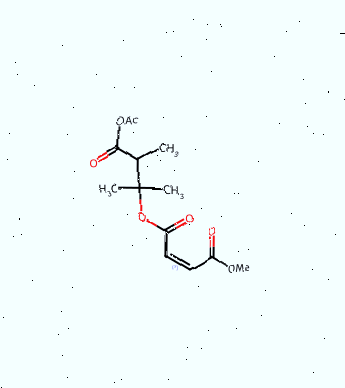 COC(=O)/C=C\C(=O)OC(C)(C)C(C)C(=O)OC(C)=O